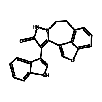 O=c1[nH]n2c(c1-c1c[nH]c3ccccc13)-c1coc3cccc(c13)CC2